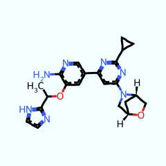 CC(Oc1cc(-c2cc(N3C[C@@H]4C[C@H]3CO4)nc(C3CC3)n2)cnc1N)c1ncc[nH]1